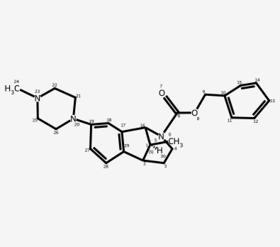 C[C@H]1C2CCN(C(=O)OCc3ccccc3)C1c1cc(N3CCN(C)CC3)ccc12